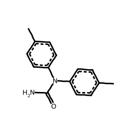 Cc1ccc(N(C(N)=O)c2ccc(C)cc2)cc1